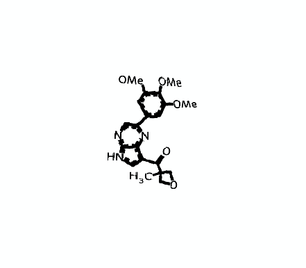 COc1cc(-c2cnc3[nH]cc(C(=O)C4(C)COC4)c3n2)cc(OC)c1OC